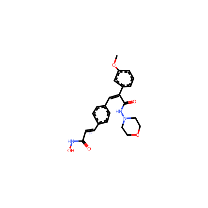 COc1cccc(C(=Cc2ccc(/C=C/C(=O)NO)cc2)C(=O)NN2CCOCC2)c1